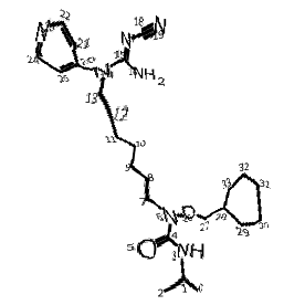 CC(C)NC(=O)N(CCCCCCCN(C(N)=NC#N)c1ccncc1)OCC1CCCCC1